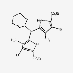 CCOC(=O)c1[nH]c(C(c2[nH]c(C(=O)OCC)c(CC)c2C)C2CCCCC2)c(C)c1CC